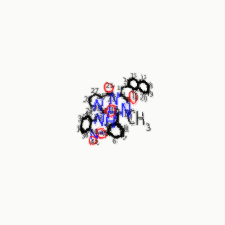 CN(Cc1ccccc1)C(=O)[C@H](Cc1ccc2ccccc2c1)NC(=O)[C@@H]1CCCN1C(=O)Nc1ccc#cc1[N+](=O)[O-]